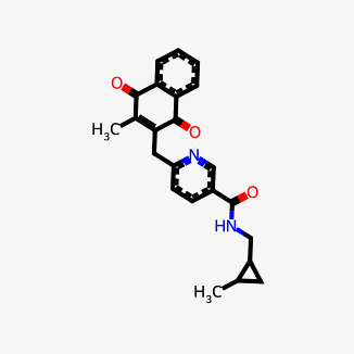 CC1=C(Cc2ccc(C(=O)NCC3CC3C)cn2)C(=O)c2ccccc2C1=O